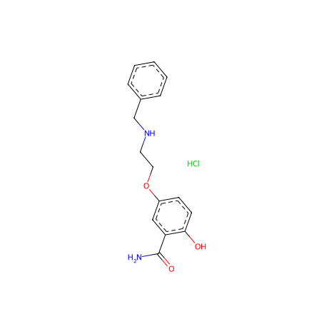 Cl.NC(=O)c1cc(OCCNCc2ccccc2)ccc1O